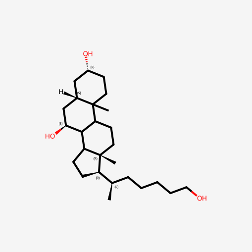 C[C@H](CCCCCO)[C@H]1CCC2C3C(CC[C@@]21C)C1(C)CC[C@@H](O)C[C@H]1C[C@@H]3O